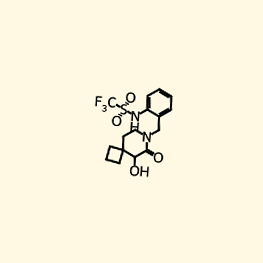 O=C1C(O)C2(CCC2)CCN1Cc1ccccc1NS(=O)(=O)C(F)(F)F